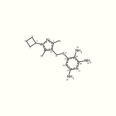 Cc1nn(C2CCC2)c(C)c1CSc1cc(N)nc(N)c1N